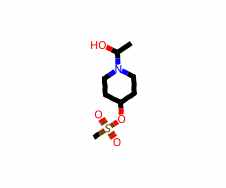 CC(O)N1CCC(OS(C)(=O)=O)CC1